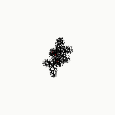 C[Si](C)(C)c1ccc(N(c2ccccc2)c2ccc3c4c(c5ccccc5c3c2)-c2c(cc3c(sc5ccccc53)c2N(c2ccccc2)c2ccc([Si](C)(C)C)cc2)C42c3ccccc3-c3cccnc32)cc1